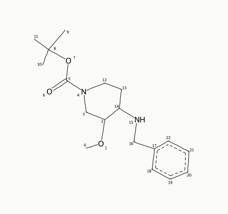 COC1CN(C(=O)OC(C)(C)C)CCC1NCc1ccccc1